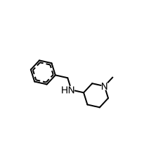 CN1CCCC(NCc2ccccc2)C1